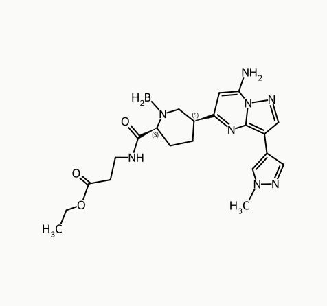 BN1C[C@@H](c2cc(N)n3ncc(-c4cnn(C)c4)c3n2)CC[C@H]1C(=O)NCCC(=O)OCC